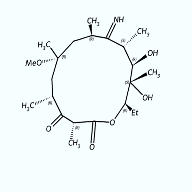 CC[C@H]1OC(=O)[C@H](C)C(=O)[C@H](C)C[C@](C)(OC)C[C@@H](C)C(=N)[C@H](C)[C@@H](O)[C@]1(C)O